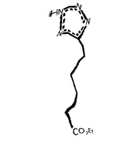 CCOC(=O)CCCCc1nn[nH]n1